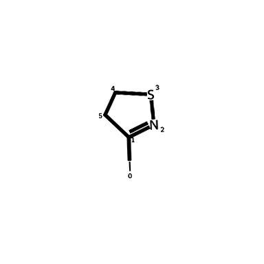 IC1=NSCC1